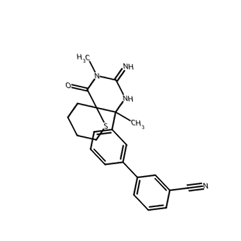 CN1C(=N)NC(C)(c2cccc(-c3cccc(C#N)c3)c2)C2(CCCCS2)C1=O